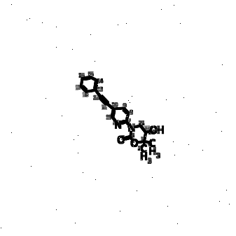 CC1(C)OC(=O)N(c2ccc(C#Cc3ccccc3)cn2)CC1O